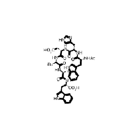 CC[C@H](C)[C@H](NC(=O)[C@H](CC(=O)O)NC(=O)[C@H](Cc1c[nH]cn1)NC(=O)[C@@H](Cc1c[nH]c2ccccc12)NC(C)=O)C(=O)N[C@H](C(=O)N[C@@H](Cc1c[nH]c2ccccc12)C(=O)O)[C@@H](C)CC